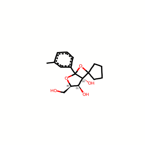 Cc1cccc(C23O[C@H](CO)[C@H](O)[C@]2(O)C2(CCCC2)O3)c1